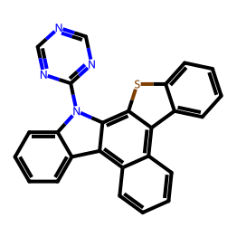 c1ccc2c(c1)sc1c2c2ccccc2c2c3ccccc3n(-c3ncncn3)c12